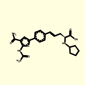 NC(=O)Nc1sc(-c2ccc(C=CC[C@H](NC3CCCC3)C(=O)O)cc2)cc1C(N)=O